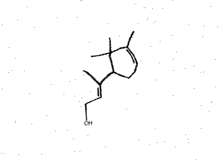 CC(=CCO)C1CC=C(C)C1(C)C